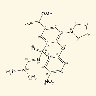 COC(=O)c1cc(N2CCCC2)c(Oc2ccc([N+](=O)[O-])cc2)c(S(=O)(=O)N=CN(C)C)c1